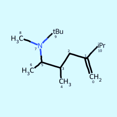 C=C(CC(C)C(C)N(C)C(C)(C)C)C(C)C